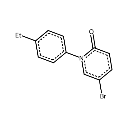 CCc1ccc(-n2cc(Br)ccc2=O)cc1